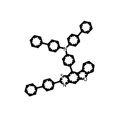 c1ccc(-c2ccc(-c3nc4cc5oc6ccccc6c5c(-c5ccc(N(c6ccc(-c7ccccc7)cc6)c6ccc(-c7ccccc7)cc6)cc5)c4s3)cc2)cc1